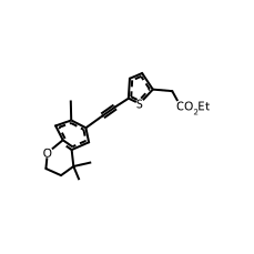 CCOC(=O)Cc1ccc(C#Cc2cc3c(cc2C)OCCC3(C)C)s1